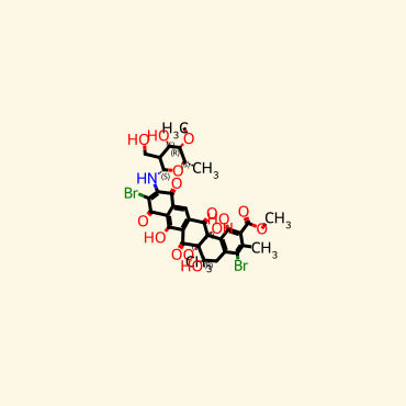 COC(=O)c1c(C)c(Br)c2c(c1O)[C@]1(O)C(=O)c3cc4c(c(O)c3C(=O)[C@]1(OC)[C@H](O)C2)C(=O)C(Br)=C(N[C@H]1O[C@@H](C)[C@H](OC)[C@@H](O)C1CO)C4=O